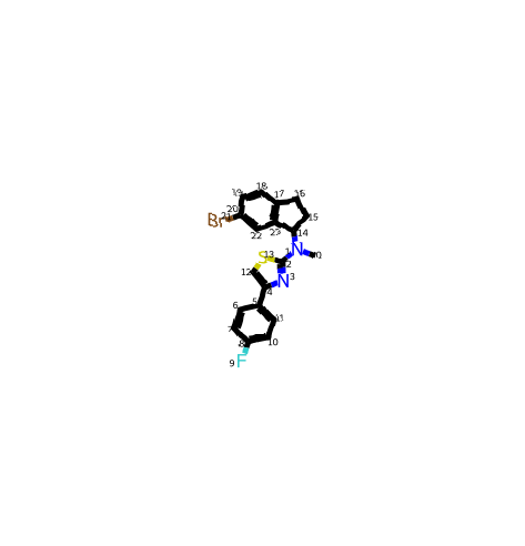 CN(c1nc(-c2ccc(F)cc2)cs1)C1CCc2ccc(Br)cc21